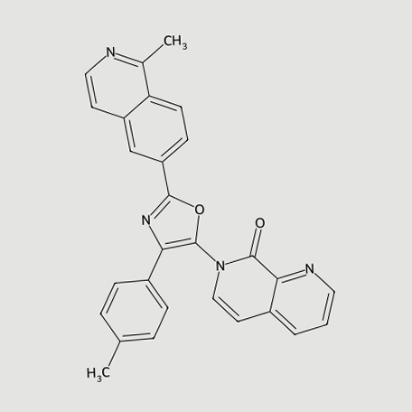 Cc1ccc(-c2nc(-c3ccc4c(C)nccc4c3)oc2-n2ccc3cccnc3c2=O)cc1